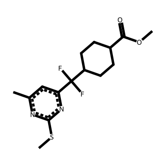 COC(=O)C1CCC(C(F)(F)c2cc(C)nc(SC)n2)CC1